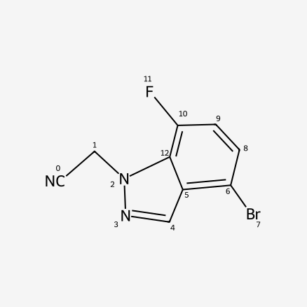 N#CCn1ncc2c(Br)ccc(F)c21